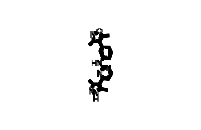 Cc1n[nH]c(C)c1-c1ccnc(Nc2cccc(-c3c(C)noc3C)c2)n1